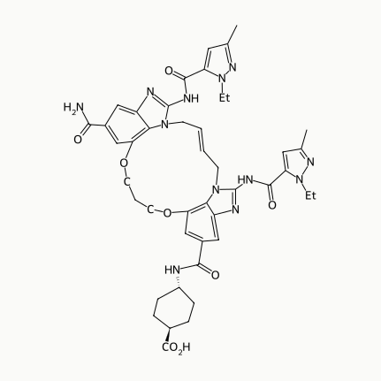 CCn1nc(C)cc1C(=O)Nc1nc2cc(C(N)=O)cc3c2n1C/C=C/Cn1c(NC(=O)c2cc(C)nn2CC)nc2cc(C(=O)N[C@H]4CC[C@H](C(=O)O)CC4)cc(c21)OCCCO3